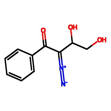 [N-]=[N+]=C(C(=O)c1ccccc1)C(O)CO